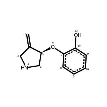 C=C1CNC[C@@H]1Oc1ccccc1O